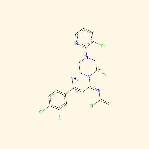 C=C(Cl)/N=C(\C=C(/N)c1ccc(Cl)c(F)c1)N1CCN(c2ncccc2Cl)C[C@@H]1C